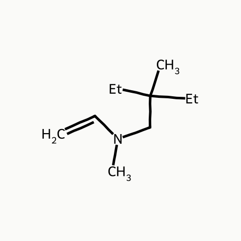 C=CN(C)CC(C)(CC)CC